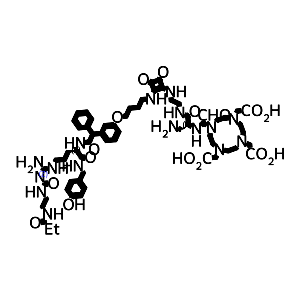 CCC(=O)NCCNC(=O)/N=C(/N)NCCC[C@@H](NC(=O)C(c1ccccc1)c1cccc(OCCCCNc2c(NCCNC(=O)[C@@H](CN)NC(C=O)N3CCN(CC(=O)O)CCN(CC(=O)O)CCN(CC(=O)O)CC3)c(=O)c2=O)c1)C(=O)NCc1ccc(O)cc1